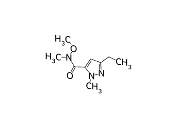 CCc1cc(C(=O)N(C)OC)n(C)n1